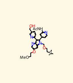 COCCOc1cnc2c(-c3ccc(CO)cn3)c(-c3ccnc(NC(C)=O)c3)n(COCC[Si](C)(C)C)c2c1